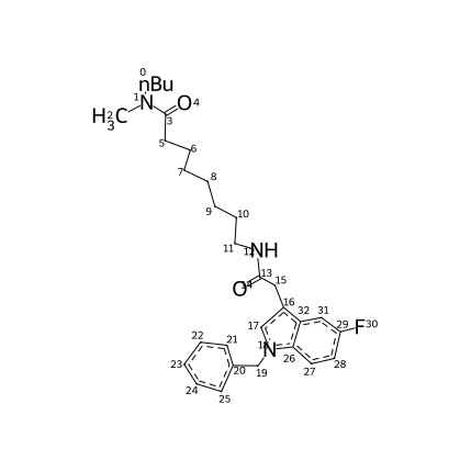 CCCCN(C)C(=O)CCCCCCCNC(=O)Cc1cn(Cc2ccccc2)c2ccc(F)cc12